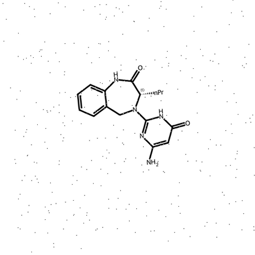 CCC[C@H]1C(=O)Nc2ccccc2CN1c1nc(N)cc(=O)[nH]1